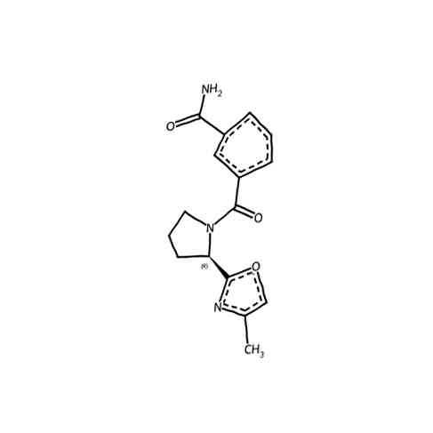 Cc1coc([C@H]2CCCN2C(=O)c2cccc(C(N)=O)c2)n1